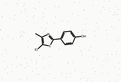 CCc1sc(-c2ccc(O)cc2)nc1C